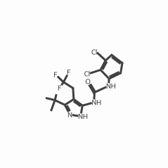 CC(C)(C)c1n[nH]c(NC(=O)Nc2cccc(Cl)c2Cl)c1CC(F)(F)F